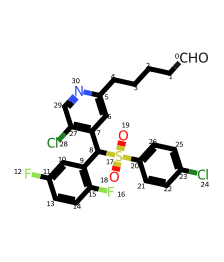 O=CCCCCc1cc(C(c2cc(F)ccc2F)S(=O)(=O)c2ccc(Cl)cc2)c(Cl)cn1